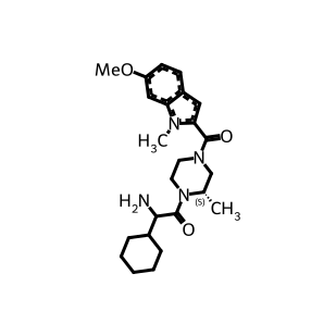 COc1ccc2cc(C(=O)N3CCN(C(=O)C(N)C4CCCCC4)[C@@H](C)C3)n(C)c2c1